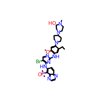 CCc1cc(Nc2ncc(Br)c(Nc3ccc4nccnc4c3P(C)(C)=O)n2)c(OC)cc1N1CCC(N2CCN(C)C(O)C2)CC1